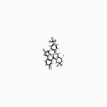 C[C@@H]1CC(F)(F)CN(C(=O)c2cc(Cl)ccc2-c2nnn(C)n2)C1COc1ccc(C(F)(F)F)cn1